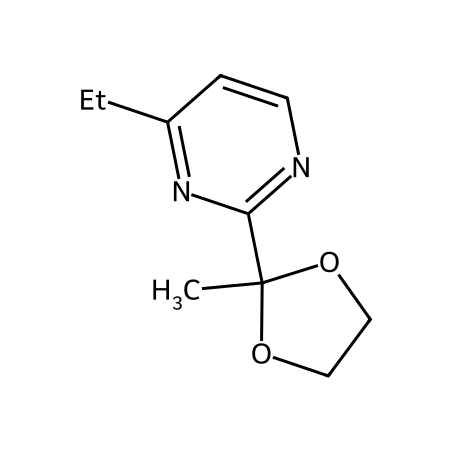 CCc1ccnc(C2(C)OCCO2)n1